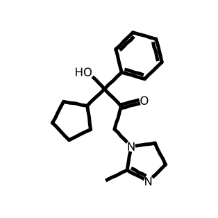 CC1=NCCN1CC(=O)C(O)(c1ccccc1)C1CCCC1